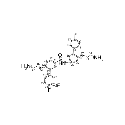 Cc1ccc(-c2cc(NC(=O)c3ccc(OCCN)c(-c4ccc(F)c(F)c4)c3)ccc2OCCN)cc1